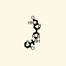 CC(C)(Nc1ncc(-c2cnc3c(c2)NC(=O)C3)cn1)c1ncccc1Cl